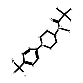 CN(C(=O)C(C)(C)C)C1CCN(c2ccc(C(F)(F)F)cc2)CC1